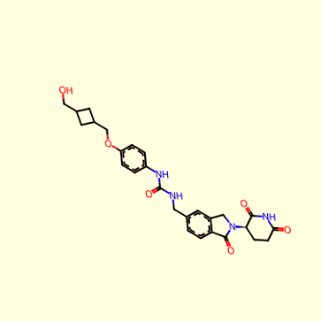 O=C1CC[C@@H](N2Cc3cc(CNC(=O)Nc4ccc(OCC5CC(CO)C5)cc4)ccc3C2=O)C(=O)N1